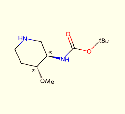 CO[C@@H]1CCNC[C@H]1NC(=O)OC(C)(C)C